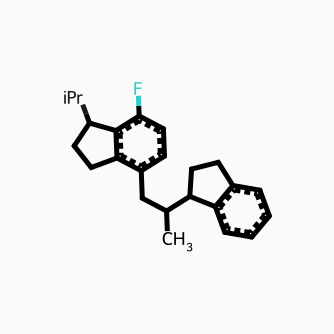 CC(C)C1CCc2c(CC(C)C3CCc4ccccc43)ccc(F)c21